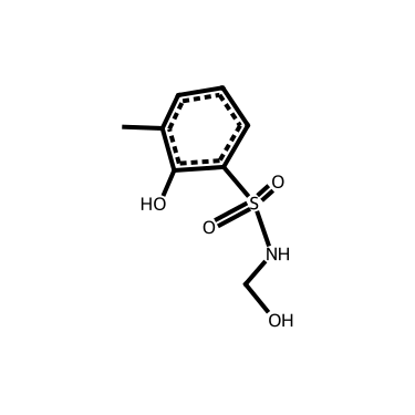 Cc1cccc(S(=O)(=O)NCO)c1O